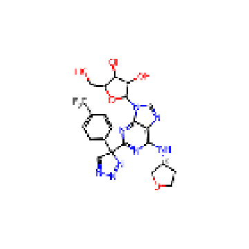 OCC1OC(n2cnc3c(N[C@@H]4CCOC4)nc(C4(c5ccc(C(F)(F)F)cc5)C=NN=N4)nc32)C(O)C1O